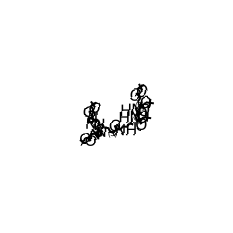 C[C@@H](CCCCN(Cc1nccn1CC(=O)OC(C)(C)C)Cc1nccn1CC(=O)OC(C)(C)C)C(=O)NCCCC[C@H](NC(=O)N[C@@H](CCC(=O)OC(C)(C)C)C(=O)OC(C)(C)C)C(=O)OC(C)(C)C